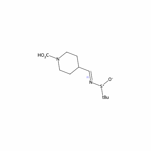 CC(C)(C)[S+]([O-])/N=C/C1CCN(C(=O)O)CC1